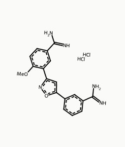 COc1ccc(C(=N)N)cc1-c1cc(-c2cccc(C(=N)N)c2)on1.Cl.Cl